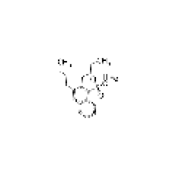 CCCCc1cc2ccccc2c(S(=O)(=O)O)c1CCCC.[Fe]